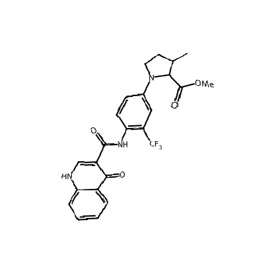 COC(=O)C1C(C)CCN1c1ccc(NC(=O)c2c[nH]c3ccccc3c2=O)c(C(F)(F)F)c1